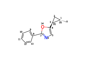 C[C@H]1C[C@@H]1c1cnc(-c2ccccc2)o1